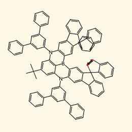 CC(C)(C)c1cc2c3c(c1)N(c1cc(-c4ccccc4)cc(-c4ccccc4)c1)c1cc4c(cc1B3c1cc3c(cc1N2c1cc(-c2ccccc2)cc(-c2ccccc2)c1)-c1ccccc1C31c2ccccc2-c2ccccc21)C1(c2ccccc2-c2ccccc21)c1ccccc1-4